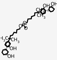 CC(C)(CCCCCCO[N+](=O)OCCCCCCC(C)(C)c1ccc([C@H]2CCC[C@@H](O)C2)c(O)c1)c1ccc([C@H]2CCC[C@@H](O)C2)c(O)c1